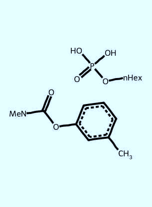 CCCCCCOP(=O)(O)O.CNC(=O)Oc1cccc(C)c1